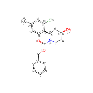 O=C(OCc1ccccc1)N1CC[C@H](O)C[C@@H]1c1ccc(C(F)(F)F)cc1Cl